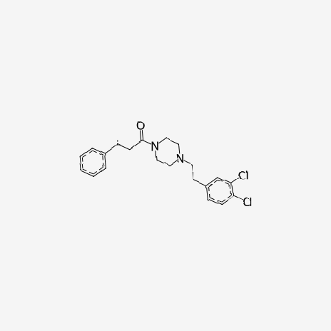 O=C(C[CH]c1ccccc1)N1CCN(CCc2ccc(Cl)c(Cl)c2)CC1